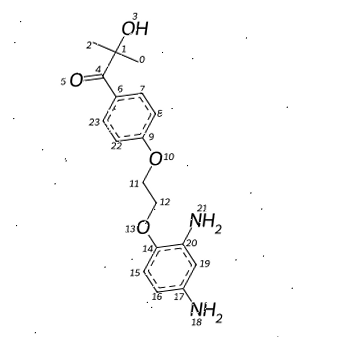 CC(C)(O)C(=O)c1ccc(OCCOc2ccc(N)cc2N)cc1